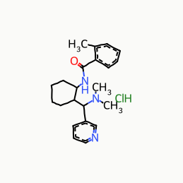 Cc1ccccc1C(=O)NC1CCCCC1C(c1cccnc1)N(C)C.Cl